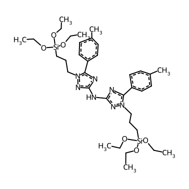 CCO[Si](CCCn1nc(Nc2nc(-c3ccc(C)cc3)n(CCC[Si](OCC)(OCC)OCC)n2)nc1-c1ccc(C)cc1)(OCC)OCC